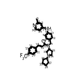 Cc1cc(Nc2ccc(CN(C(=O)/C=C/c3ccc(C(F)(F)F)cc3)C3CCN(C4CCCC4)C3)cc2)ccn1